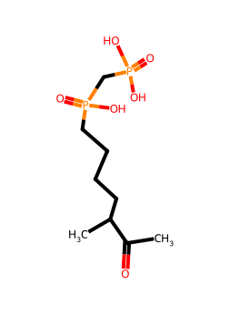 CC(=O)C(C)CCCCP(=O)(O)CP(=O)(O)O